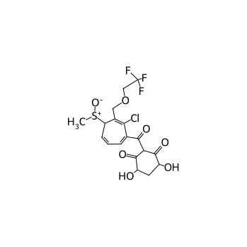 C[S+]([O-])C1C=CC=C(C(=O)C2C(=O)C(O)CC(O)C2=O)C(Cl)=C1COCC(F)(F)F